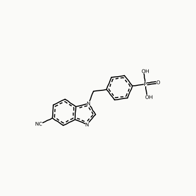 N#Cc1ccc2c(c1)ncn2Cc1ccc(P(=O)(O)O)cc1